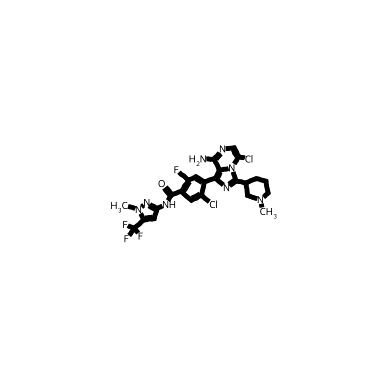 CN1CCCC(c2nc(-c3cc(F)c(C(=O)Nc4cc(C(F)(F)F)n(C)n4)cc3Cl)c3c(N)ncc(Cl)n23)C1